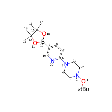 CC(C)(C)ON1CCN(c2ccc(B3OC(C)(C)C(C)(C)O3)cn2)CC1